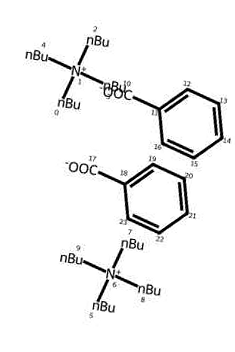 CCCC[N+](CCCC)(CCCC)CCCC.CCCC[N+](CCCC)(CCCC)CCCC.O=C([O-])c1ccccc1.O=C([O-])c1ccccc1